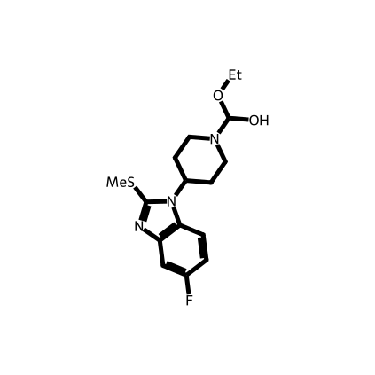 CCOC(O)N1CCC(n2c(SC)nc3cc(F)ccc32)CC1